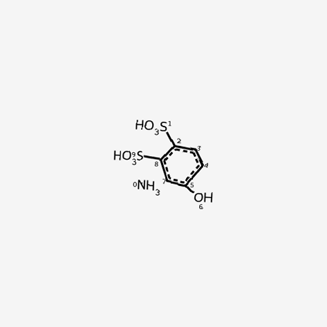 N.O=S(=O)(O)c1ccc(O)cc1S(=O)(=O)O